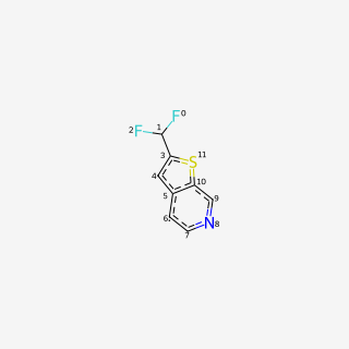 FC(F)c1cc2[c]cncc2s1